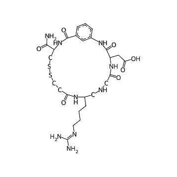 NC(=O)C1CSSCCC(=O)NC(CCCCN=C(N)N)CNCC(=O)NC(CC(=O)O)C(=O)Nc2cccc(c2)C(=O)N1